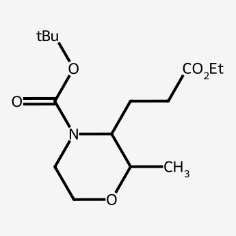 CCOC(=O)CCC1C(C)OCCN1C(=O)OC(C)(C)C